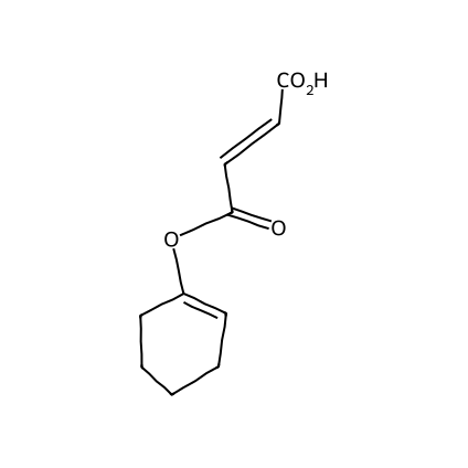 O=C(O)C=CC(=O)OC1=CCCCC1